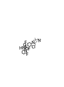 CC1CC(C)(CN(C)C)CN1c1cc(F)c(S(=O)(=O)Nc2cccc(F)n2)c(F)c1Cl